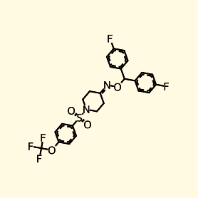 O=S(=O)(c1ccc(OC(F)(F)F)cc1)N1CCC(=NOC(c2ccc(F)cc2)c2ccc(F)cc2)CC1